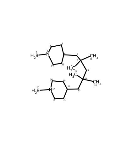 BN1CCC(CC(C)(C)CC(C)(C)CC2CCN(B)CC2)CC1